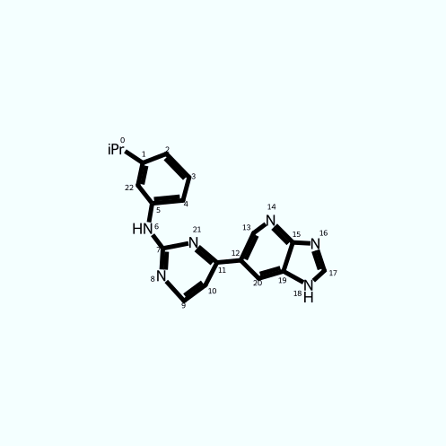 CC(C)c1cccc(Nc2nccc(-c3cnc4nc[nH]c4c3)n2)c1